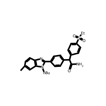 CCCCn1c(-c2ccc(C(C(N)=O)c3ccc(S(=O)(=O)CC)cc3)cc2)nc2ccc(C)cc21